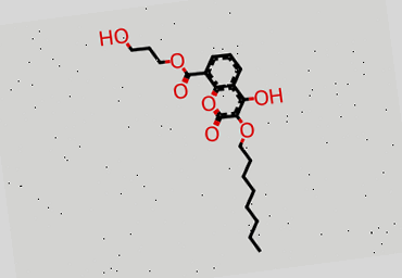 CCCCCCCCOc1c(O)c2cccc(C(=O)OCCCO)c2oc1=O